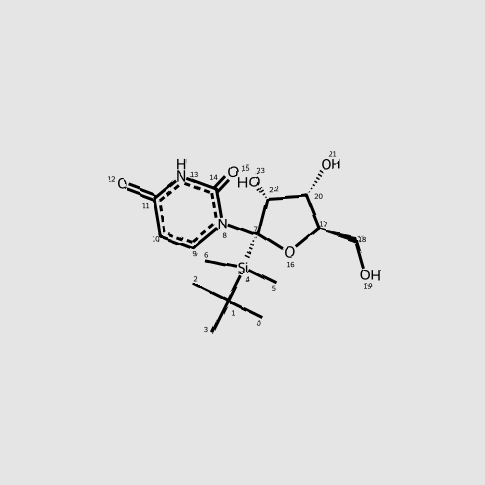 CC(C)(C)[Si](C)(C)[C@@]1(n2ccc(=O)[nH]c2=O)O[C@H](CO)[C@@H](O)[C@H]1O